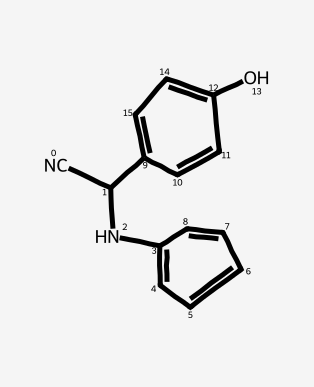 N#CC(Nc1ccccc1)c1ccc(O)cc1